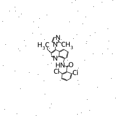 CCc1cnc2c(NC(=O)c3c(Cl)cccc3Cl)cccc2c1-n1ccnc1C